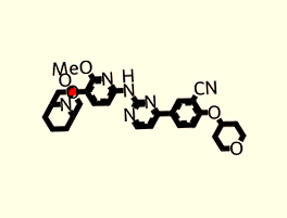 COc1nc(Nc2nccc(-c3ccc(OC4CCOCC4)c(C#N)c3)n2)ccc1C(=O)N1C2CCCC1COC2